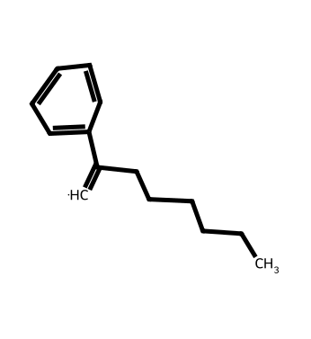 [CH]=C(CCCCCC)c1ccccc1